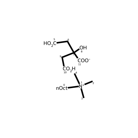 CCCCCCCC[N+](C)(C)C.O=C(O)CC(O)(CC(=O)O)C(=O)[O-]